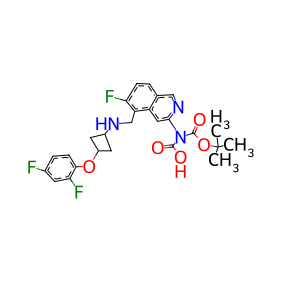 CC(C)(C)OC(=O)N(C(=O)O)c1cc2c(CNC3CC(Oc4ccc(F)cc4F)C3)c(F)ccc2cn1